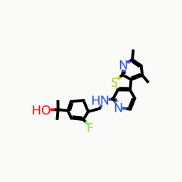 Cc1cc(C)c2c(n1)sc1c(NCC3CC=C(C(C)(C)O)C=C3F)nccc12